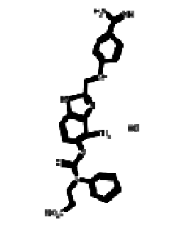 CCOC(=O)CCN(C(=O)Oc1ccc2[nH]c(CNc3ccc(C(=N)N)cc3)nc2c1C)c1ccccc1.Cl